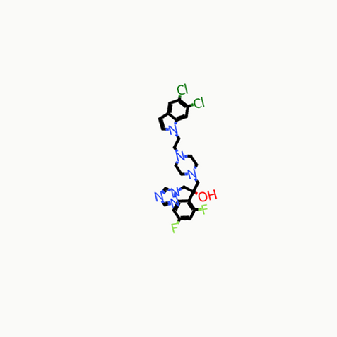 OC(CN1CCN(CCn2ccc3cc(Cl)c(Cl)cc32)CC1)(Cn1cncn1)c1ccc(F)cc1F